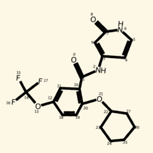 O=C(Nc1cc[nH]c(=O)c1)c1cc(OC(F)(F)F)ccc1OC1CCCCC1